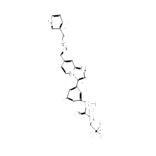 O=C(NCC(F)(F)F)Nc1cccc(-c2cnc3cc(C=NOCc4cccnc4)ccn23)c1